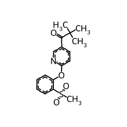 CC(C)(C)C(=O)c1ccc(Oc2ccccc2S(C)(=O)=O)nc1